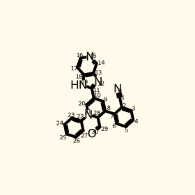 N#Cc1ccccc1C1=CC(c2nc3cnccc3[nH]2)=CN(c2ccccc2)C1C=O